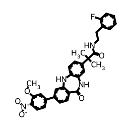 COc1cc(-c2ccc3c(c2)Nc2ccc(C(C)(C)C(=O)NCCc4ccccc4F)cc2NC3=O)ccc1[N+](=O)[O-]